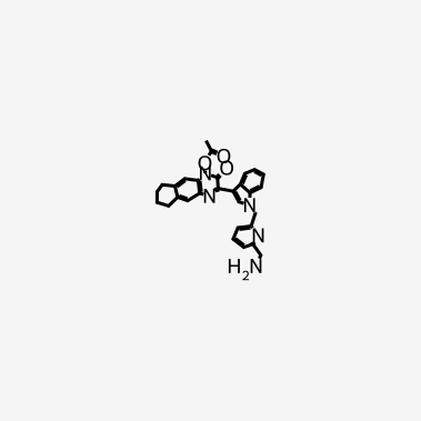 CC(=O)On1c(=O)c(-c2cn(Cc3cccc(CN)n3)c3ccccc23)nc2cc3c(cc21)CCCC3